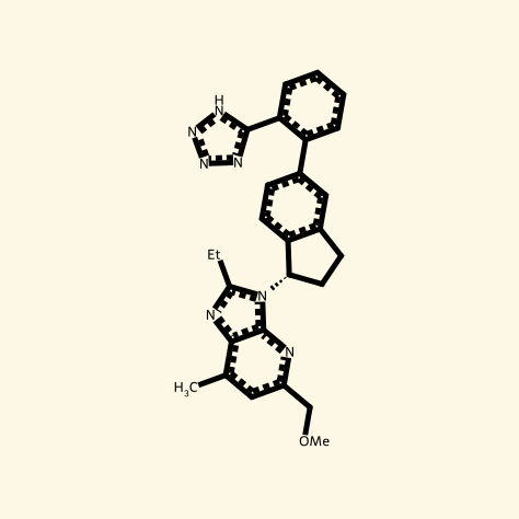 CCc1nc2c(C)cc(COC)nc2n1[C@H]1CCc2cc(-c3ccccc3-c3nnn[nH]3)ccc21